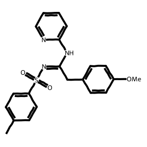 COc1ccc(CC(=NS(=O)(=O)c2ccc(C)cc2)Nc2ccccn2)cc1